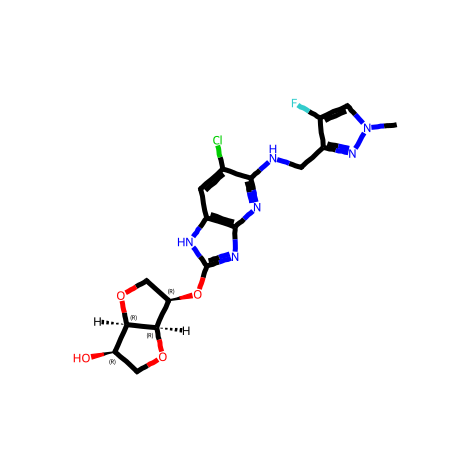 Cn1cc(F)c(CNc2nc3nc(O[C@@H]4CO[C@H]5[C@@H]4OC[C@H]5O)[nH]c3cc2Cl)n1